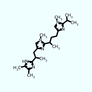 Cc1nc(C(C)Cc2cn(C)c(C(C)CCc3cn(C)c(C(C)C)n3)n2)[nH]c1C